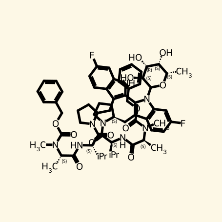 CC(C)[C@H](NC(=O)[C@H](C)N(C)C(=O)OCc1ccccc1)C(=O)N1CCCC1Cc1c(-c2c(C[C@@H]3CCCN3C(=O)[C@@H](NC(=O)[C@H](C)N(C)C(=O)OCc3ccccc3)C(C)C)c3ccc(F)cc3n2C2O[C@@H](C)[C@@H](O)[C@@H](O)[C@@H]2O)[nH]c2cc(F)ccc12